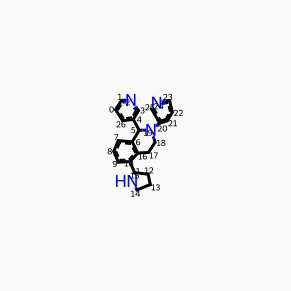 c1cncc(C2c3cccc(C4CCCN4)c3CCN2c2cccnc2)c1